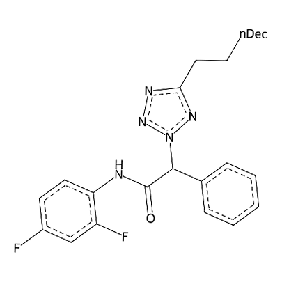 CCCCCCCCCCCCc1nnn(C(C(=O)Nc2ccc(F)cc2F)c2ccccc2)n1